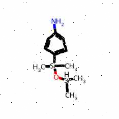 C[SiH](C)O[Si](C)(C)c1ccc(N)cc1